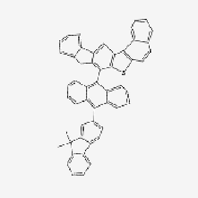 CC1(C)c2ccccc2-c2ccc(-c3c4ccccc4c(-c4c5c(cc6c4sc4ccc7ccccc7c46)-c4ccccc4C5)c4ccccc34)cc21